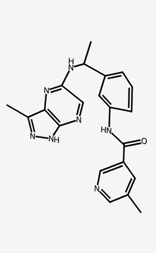 Cc1cncc(C(=O)Nc2cccc(C(C)Nc3cnc4[nH]nc(C)c4n3)c2)c1